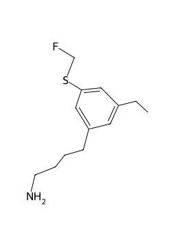 CCc1cc(CCCCN)cc(SCF)c1